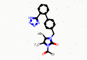 CCCCc1c(C(F)(F)F)n(C(=O)CC)c(=O)n1Cc1ccc(-c2ccccc2-c2nnn[nH]2)cc1